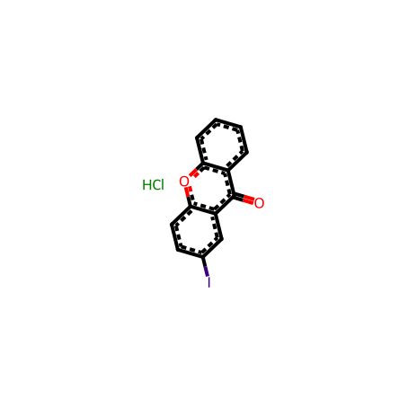 Cl.O=c1c2ccccc2oc2ccc(I)cc12